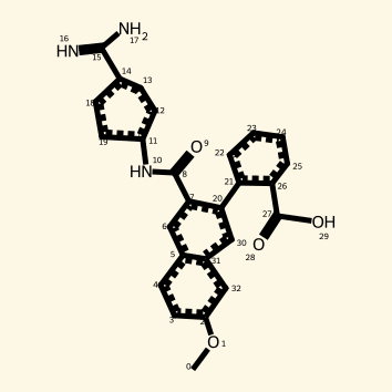 COc1ccc2cc(C(=O)Nc3ccc(C(=N)N)cc3)c(-c3ccccc3C(=O)O)cc2c1